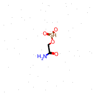 NC(=O)CO[SH](=O)=O